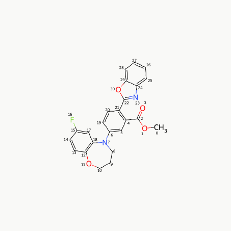 COC(=O)c1cc(N2CCCOc3ccc(F)cc32)ccc1-c1nc2ccccc2o1